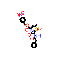 CC1C=C(C(=O)OCc2ccc([N+](=O)[O-])cc2)N2C(=O)C(NC(=O)Cc3ccccc3)[C@H]2[S+]1[O-]